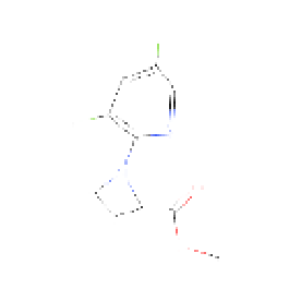 COC(=O)[C@@H]1CCN1c1ncc(F)cc1F